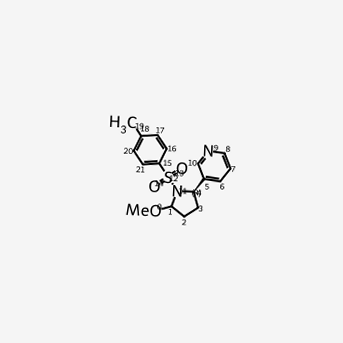 COC1CC[C@H](c2cccnc2)N1S(=O)(=O)c1ccc(C)cc1